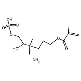 C=C(C)C(=O)OCCCC(C)(C)C(O)COS(=O)(=O)O.N